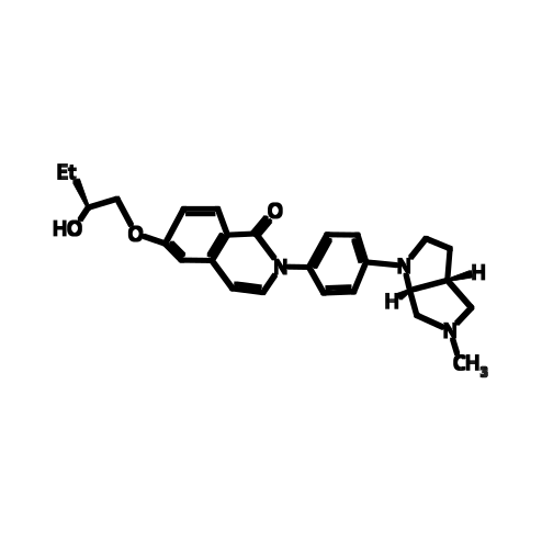 CC[C@H](O)COc1ccc2c(=O)n(-c3ccc(N4CC[C@@H]5CN(C)C[C@@H]54)cc3)ccc2c1